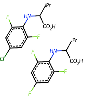 CC(C)C(Nc1c(F)cc(Cl)cc1F)C(=O)O.CC(C)C(Nc1c(F)cc(F)cc1F)C(=O)O